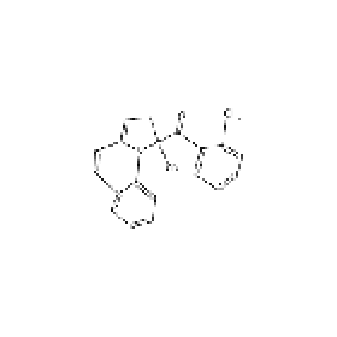 Cc1ccccc1C(=O)C1(C#N)CC=C2C=Cc3ccccc3N21